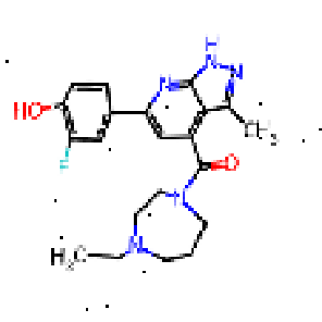 CCN1CCCN(C(=O)c2cc(-c3ccc(O)c(F)c3)nc3[nH]nc(C)c23)CC1